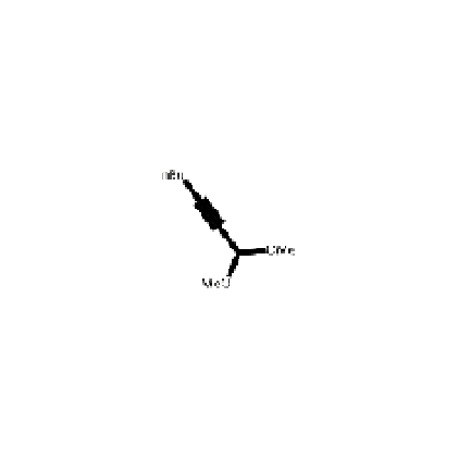 [CH2]CCCC#CC(OC)OC